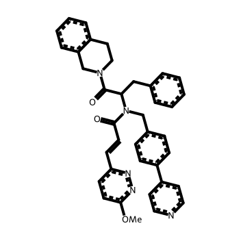 COc1ccc(C=CC(=O)N(Cc2ccc(-c3ccncc3)cc2)C(Cc2ccccc2)C(=O)N2CCc3ccccc3C2)nn1